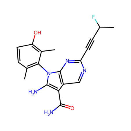 Cc1ccc(O)c(C)c1-n1c(N)c(C(N)=O)c2cnc(C#CC(C)F)nc21